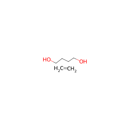 C=C.OCCCCO